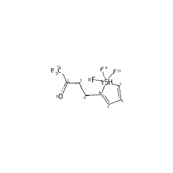 O=C(CCC1=CC=C[SH]1(F)(F)F)C(F)(F)F